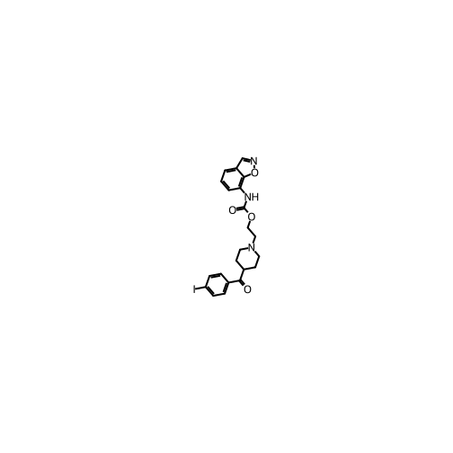 O=C(Nc1cccc2cnoc12)OCCN1CCC(C(=O)c2ccc(I)cc2)CC1